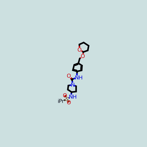 CC(C)S(=O)(=O)NC1CCN(C(=O)Nc2ccc(COC3CCCCO3)cc2)CC1